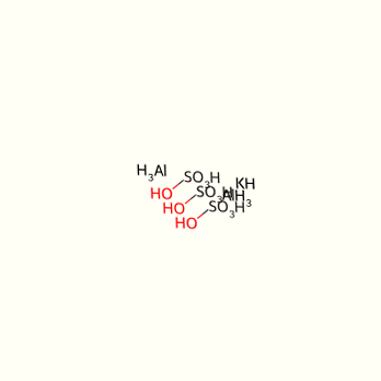 O=S(=O)(O)O.O=S(=O)(O)O.O=S(=O)(O)O.[AlH3].[AlH3].[KH]